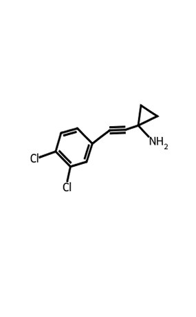 NC1(C#Cc2ccc(Cl)c(Cl)c2)CC1